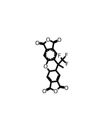 CC1(C(F)(F)F)c2cc3c(cc2OC2C=C4C(=O)OC(=O)C4=CC21)C(=O)OC3=O